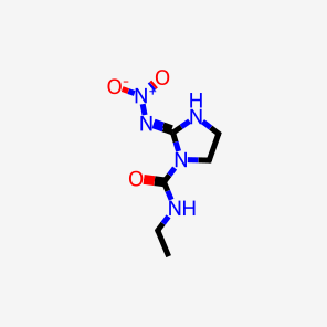 CCNC(=O)N1CCN/C1=N\[N+](=O)[O-]